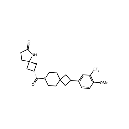 COc1ccc(C2CC3(CCN(C(=O)[C@H]4C[C@]5(CCC(=O)N5)C4)CC3)C2)cc1C(F)(F)F